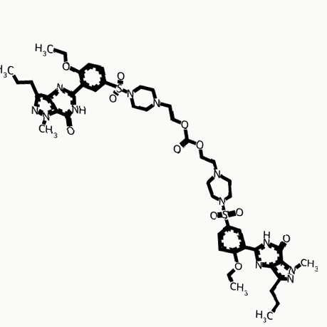 CCCc1nn(C)c2c(=O)[nH]c(-c3cc(S(=O)(=O)N4CCN(CCOC(=O)OCCN5CCN(S(=O)(=O)c6ccc(OCC)c(-c7nc8c(CCC)nn(C)c8c(=O)[nH]7)c6)CC5)CC4)ccc3OCC)nc12